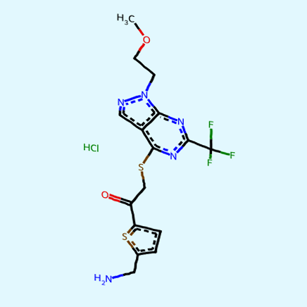 COCCn1ncc2c(SCC(=O)c3ccc(CN)s3)nc(C(F)(F)F)nc21.Cl